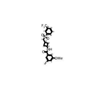 COc1cc(F)cc(C(=O)NC2CC(CS(=O)(=O)c3cccc(C(F)(F)F)c3)C2)c1